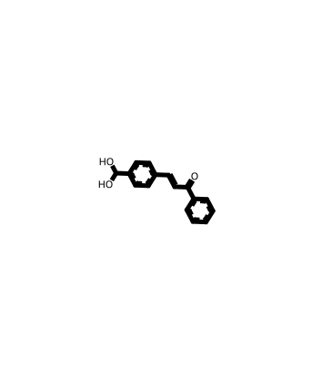 O=C(/C=C/c1ccc(C(O)O)cc1)c1ccccc1